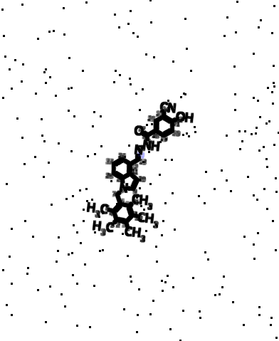 Cc1c(C)c(C)c(Cn2ccc3c(/C=N/NC(=O)c4ccc(O)c(C#N)c4)cccc32)c(C)c1C